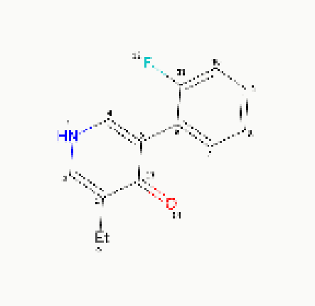 [CH2]Cc1c[nH]cc(-c2ccccc2F)c1=O